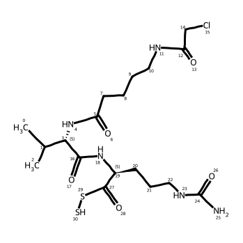 CC(C)[C@H](NC(=O)CCCCNC(=O)CCl)C(=O)N[C@@H](CCCNC(N)=O)C(=O)SS